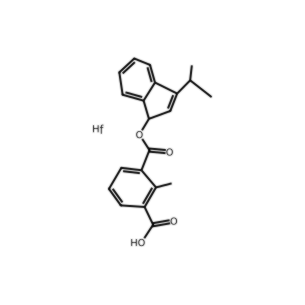 Cc1c(C(=O)O)cccc1C(=O)OC1C=C(C(C)C)c2ccccc21.[Hf]